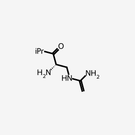 C=C(N)NC[C@H](N)C(=O)C(C)C